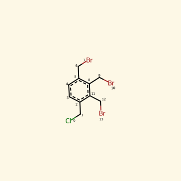 ClCc1ccc(CBr)c(CBr)c1CBr